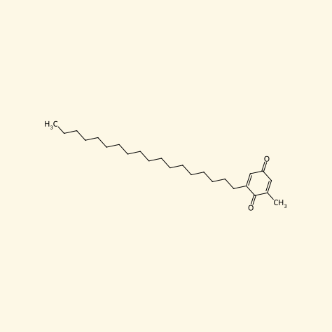 CCCCCCCCCCCCCCCCCCC1=CC(=O)C=C(C)C1=O